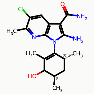 CC1=C(n2c(N)c(C(N)=O)c3cc(Cl)c(C)nc32)[C@H](C)C[C@@H](C)C1O